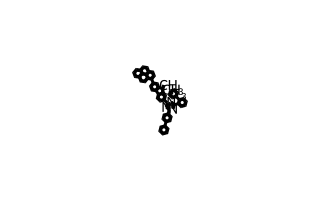 CC1(C)c2cc(-c3nc(-c4ccc(-c5ccccc5)cc4)nc(-c4ccccc4-c4ccccc4)n3)ccc2-c2ccc(-c3ccc4ccc5cccc6ccc3c4c56)cc21